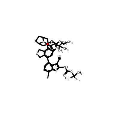 CCSc1nc(N2C3CCC2CN(C(=O)OC(C)(C)C)C3)c2c3c(c(-c4ccc(F)c5sc(NC(=O)OC(C)(C)C)c(C#N)c45)cc2n1)COC3